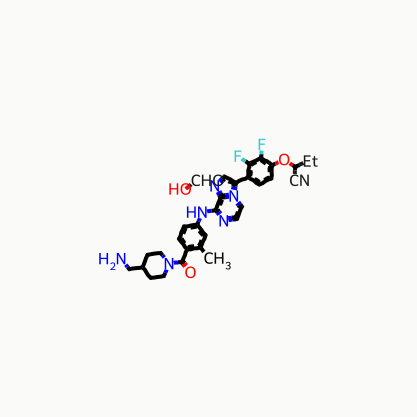 CCC(C#N)Oc1ccc(-c2cnc3c(Nc4ccc(C(=O)N5CCC(CN)CC5)c(C)c4)nccn23)c(F)c1F.O=CO